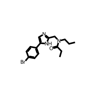 CCCN(Cc1ncc(-c2ccc(Br)cc2)[nH]1)C(=O)CC